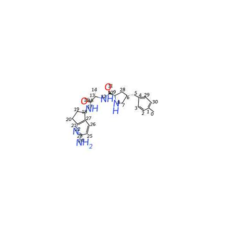 Cc1ccc(C[C@@H]2CN[C@@H](C(=O)N[C@@H](C)C(=O)NC3CCc4nc(N)ccc43)C2)cc1